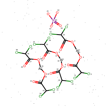 O=C([O][Al+][O]C(=O)C(Cl)Cl)C(Cl)Cl.O=C([O][Al+][O]C(=O)C(Cl)Cl)C(Cl)Cl.O=C([O][Al+][O]C(=O)C(Cl)Cl)C(Cl)Cl.O=P([O-])([O-])[O-]